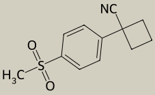 CS(=O)(=O)c1ccc(C2(C#N)CCC2)cc1